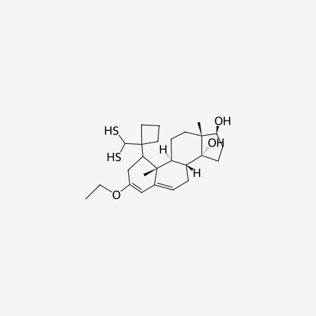 CCOC1=CC2=CC[C@@H]3[C@H](CC[C@]4(C)[C@@H](O)CC[C@@]34O)[C@@]2(C)C(C2(C(S)S)CCC2)C1